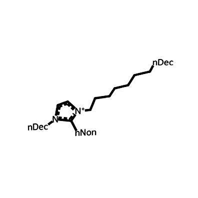 CCCCCCCCCCCCCCCCC[n+]1ccn(CCCCCCCCCC)c1CCCCCCCCC